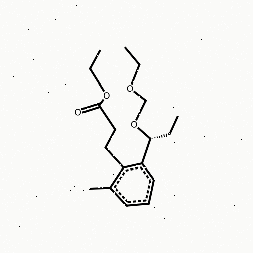 CCOCO[C@H](CC)c1cccc(C)c1CCC(=O)OCC